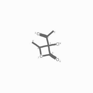 CC(=O)C1(Cl)C(=O)OC1C